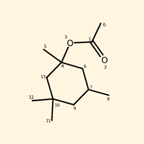 CC(=O)OC1(C)CC(C)CC(C)(C)C1